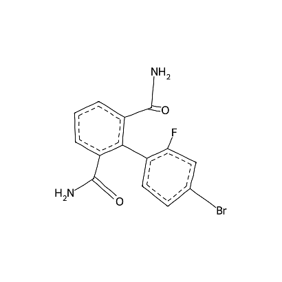 NC(=O)c1cccc(C(N)=O)c1-c1ccc(Br)cc1F